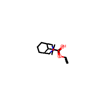 C=COC(=O)N1CC2CCCC(C1)C2C(C)(C)C(=O)O